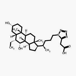 CC[C@H]1[C@@H](O)[C@@H]2[C@H](CC[C@]3(C)[C@@H]([C@H](C)CCCn4nnnc4CC(=O)O)CC[C@@H]23)[C@@]2(C)CC[C@@H](O)C[C@@H]12